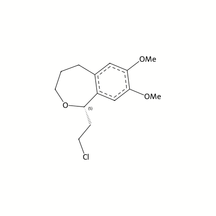 COc1cc2c(cc1OC)[C@H](CCCl)OCCC2